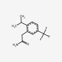 CC(C)c1ccc(C(F)(F)F)cc1CC(N)=O